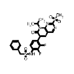 CC(n1c(=O)c(-c2ccc(NS(=O)(=O)Cc3ccccc3)c(F)c2F)cc2cnc(S(C)(=O)=O)nc21)C(F)(F)F